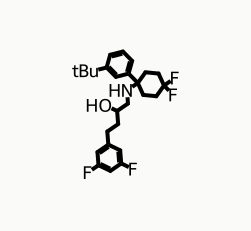 CC(C)(C)c1cccc(C2(NCC(O)CCc3cc(F)cc(F)c3)CCC(F)(F)CC2)c1